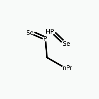 CCCCP=[Se].P=[Se]